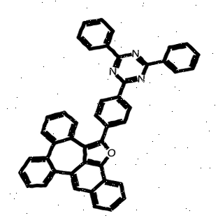 c1ccc(-c2nc(-c3ccccc3)nc(-c3ccc(-c4oc5c6c(cc7ccccc75)-c5ccccc5-c5ccccc5-c46)cc3)n2)cc1